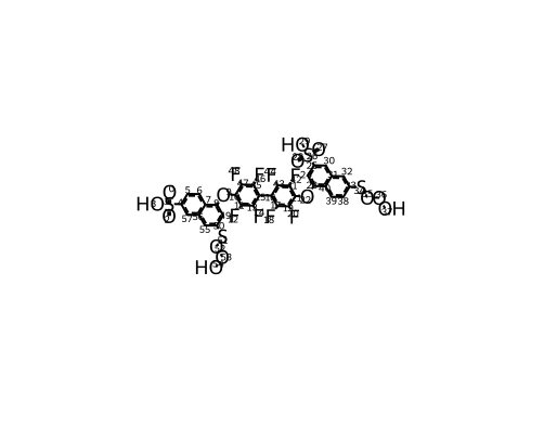 O=S(=O)(O)c1ccc2c(Oc3c(F)c(F)c(-c4c(F)c(F)c(Oc5cc(S(=O)(=O)O)cc6cc(SOOO)ccc56)c(F)c4F)c(F)c3F)cc(SOOO)cc2c1